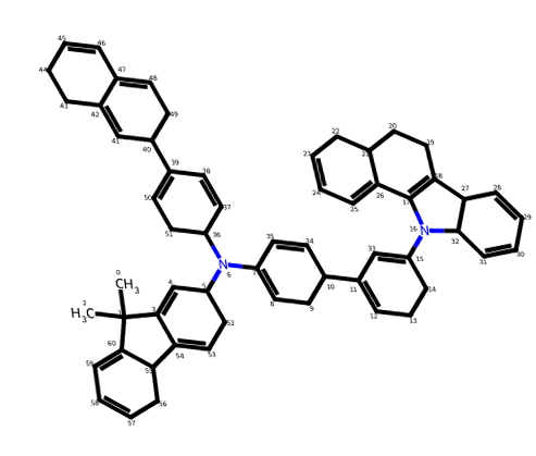 CC1(C)C2=CC(N(C3=CCC(C4=CCCC(N5C6=C(CCC7CC=CC=C67)C6C=CC=CC65)=C4)C=C3)C3C=CC(C4C=C5CCC=CC5=CC4)=CC3)CC=C2C2CC=CC=C21